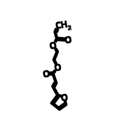 C=CC(=O)OCCOC(=O)C=Cc1ccco1